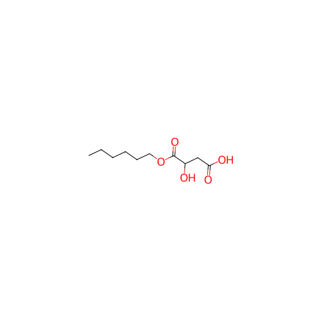 CCCCCCOC(=O)C(O)CC(=O)O